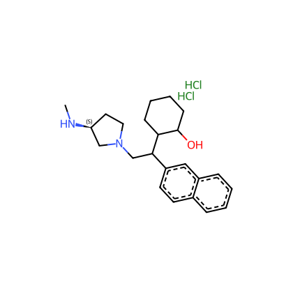 CN[C@H]1CCN(CC(c2ccc3ccccc3c2)C2CCCCC2O)C1.Cl.Cl